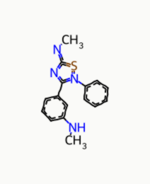 CN=c1nc(-c2cccc(NC)c2)n(-c2ccccc2)s1